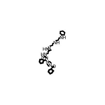 O=C(c1ccccc1)N1CCN(c2nc(NCc3cn(CCCNCCCNC4CCCCC4)[nH]3)nc3ccccc23)CC1